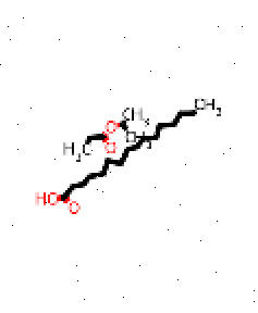 CCC(=O)OC(C)C.CCCCCCCCCCCCCCCC(=O)O